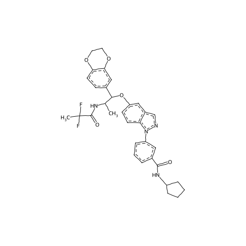 CC(NC(=O)C(C)(F)F)C(Oc1ccc2c(cnn2-c2cccc(C(=O)NC3CCCC3)c2)c1)c1ccc2c(c1)OCCO2